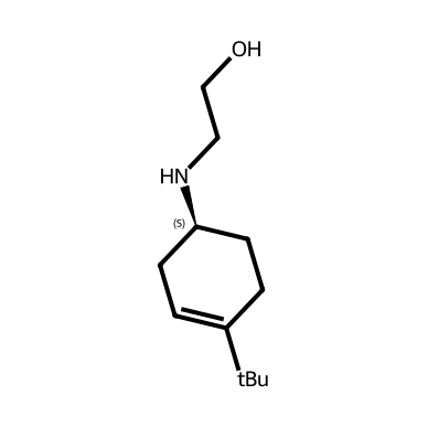 CC(C)(C)C1=CC[C@@H](NCCO)CC1